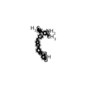 COc1cc(N2CCC(CN3CC4CN(c5ccc6cn(C7CCC(=O)NC7=O)cc6c5)CC4C3)CC2)c(-c2cnn(C)c2)cc1N